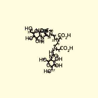 O=C(O)CN(CCN(CC(=O)O)CC(=O)NC1C(O)OC(CO)C(O)C1O)CCN(CC(=O)O)CC(=O)NC1C(O)OC(CO)C(O)C1O